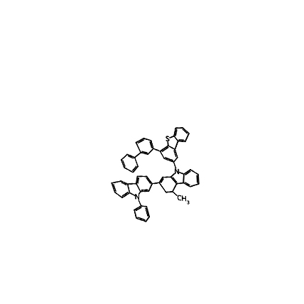 CC1CC(c2ccc3c4ccccc4n(-c4ccccc4)c3c2)=Cc2c1c1ccccc1n2-c1cc(-c2cccc(-c3ccccc3)c2)c2sc3ccccc3c2c1